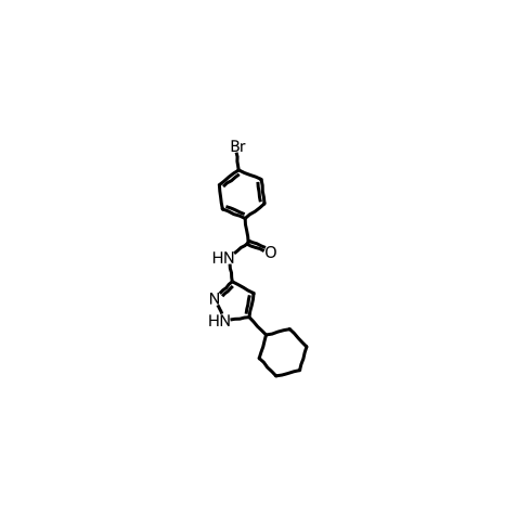 O=C(Nc1cc(C2CCCCC2)[nH]n1)c1ccc(Br)cc1